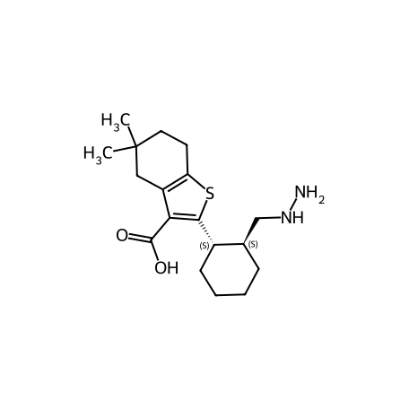 CC1(C)CCc2sc([C@H]3CCCC[C@@H]3CNN)c(C(=O)O)c2C1